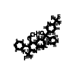 COc1c(-c2ccccc2)c(C(F)(F)F)nc2ccc(C(O)(c3ccc(C(F)(F)F)nc3)c3cncn3C)cc12